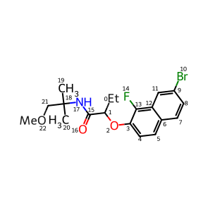 CCC(Oc1ccc2ccc(Br)cc2c1F)C(=O)NC(C)(C)COC